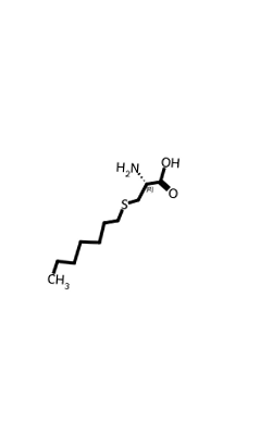 CCCCCCCSC[C@H](N)C(=O)O